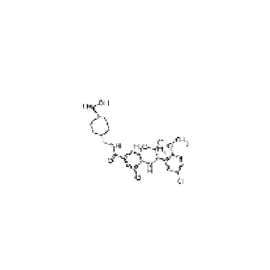 COc1ccc(Cl)cc1C(Nc1ccc(C(=O)NC[C@H]2CC[C@H](C(=O)O)CC2)cc1Cl)C(C)C